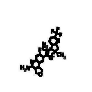 CN(C(=O)c1cc2c3c(c(N)nc2cc1F)COC3)[C@H]1c2ccc(C(F)(F)F)nc2CC1(C)C